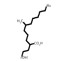 CCCCCCCCCCCCC(CCCC(C)CCCCCC(C)CC)C(=O)O